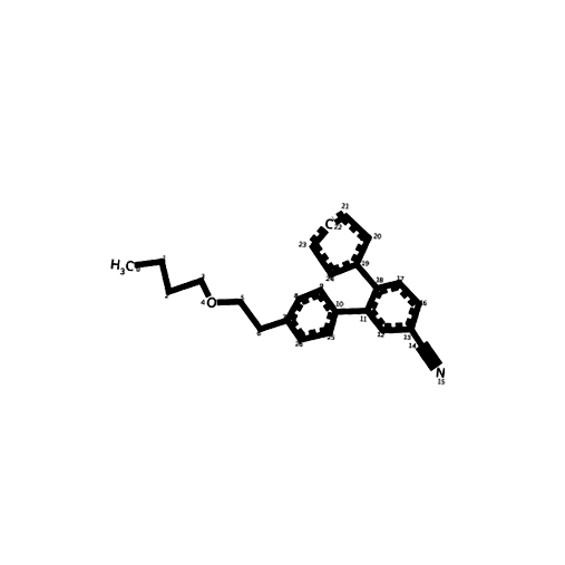 CCCCOCCc1ccc(-c2cc(C#N)ccc2-c2ccccc2)cc1